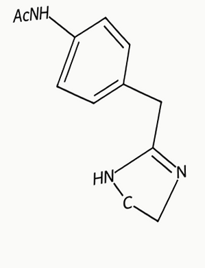 CC(=O)Nc1ccc(CC2=NCCN2)cc1